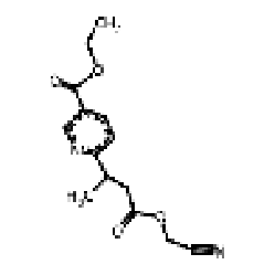 CCOC(=O)c1ccc(C(C)CC(=O)OCC#N)nc1